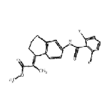 COC(=O)/C(C)=C1\CCCc2cc(NC(=O)c3c(F)cccc3F)ccc21